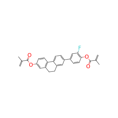 C=C(C)C(=O)Oc1ccc2c(c1)CCc1cc(-c3ccc(OC(=O)C(=C)C)c(F)c3)ccc1-2